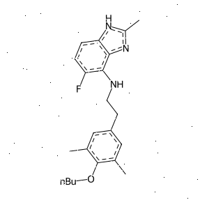 CCCCOc1c(C)cc(CCNc2c(F)ccc3[nH]c(C)nc23)cc1C